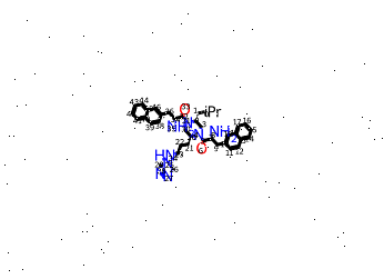 CC(C)C[C@@H]1CN(C(=O)[C@H](N)Cc2ccc3ccccc3c2)[C@@H](CCCNn2cnnc2)CN1C(=O)[C@H](N)Cc1ccc2ccccc2c1